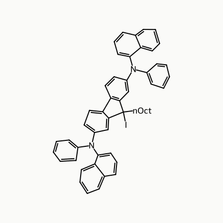 CCCCCCCCC1(I)c2cc(N(c3ccccc3)c3cccc4ccccc34)ccc2-c2ccc(N(c3ccccc3)c3cccc4ccccc34)cc21